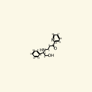 O=C(CCNC(CO)c1ccccc1)c1ccccn1